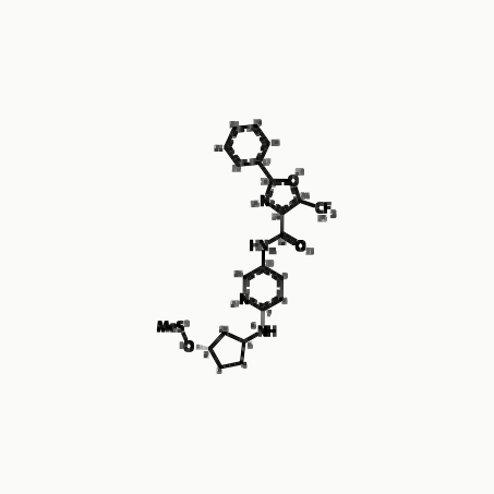 CSO[C@H]1CCC(Nc2ccc(NC(=O)c3nc(-c4ccccc4)oc3C(F)(F)F)cn2)C1